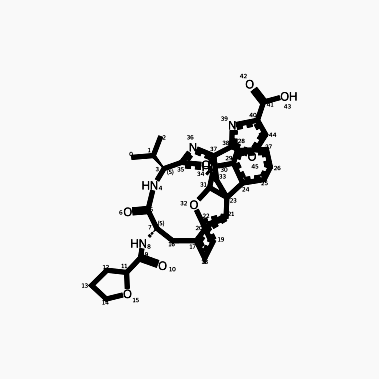 CC(C)[C@@H]1NC(=O)[C@@H](NC(=O)C2CCCO2)Cc2ccc3c(c2)C2(c4ccccc4NC2O3)c2oc1nc2-c1nc(C(=O)O)co1